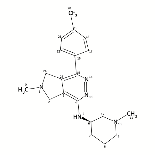 CN1Cc2c(N[C@@H]3CCCN(C)C3)nnc(-c3ccc(C(F)(F)F)cc3)c2C1